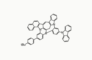 CC(C)(C)c1ccc(-c2ccc3c(c2)-n2c4c(c5ccc6ccccc6c52)=Cc2c5n(c6ccccc26)-c2cc(-n6c7ccccc7c7ccccc76)ccc2B3C=4C5)cc1